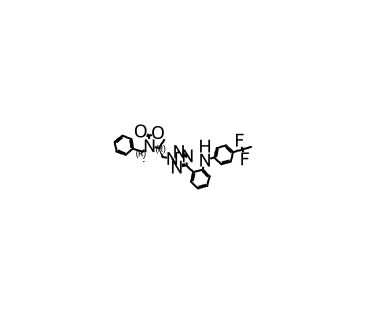 C[C@H](c1ccccc1)N1C(=O)OC[C@H]1Cn1nnc(-c2ccccc2Nc2ccc(C(C)(F)F)cc2)n1